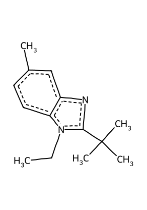 CCn1c(C(C)(C)C)nc2cc(C)ccc21